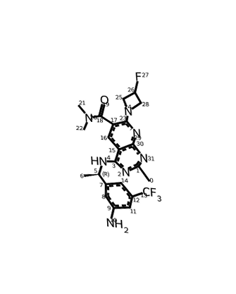 Cc1nc(N[C@H](C)c2cc(N)cc(C(F)(F)F)c2)c2cc(C(=O)N(C)C)c(N3CC(F)C3)nc2n1